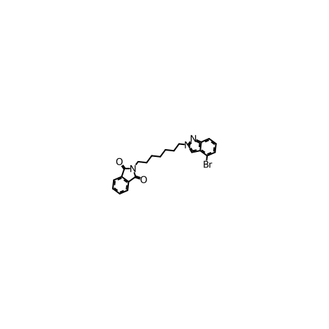 O=C1c2ccccc2C(=O)N1CCCCCCCn1cc2c(Br)cccc2n1